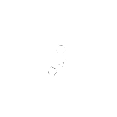 NC1CCC(NC2CC2(F)c2ccccc2)CC1